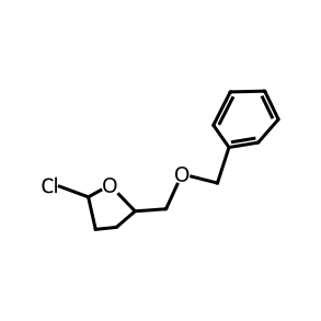 ClC1CCC(COCc2ccccc2)O1